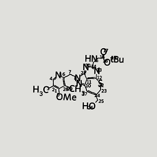 COc1c(C)cnc(Cn2nc3c4c(nc(NC(=O)OC(C)(C)C)nc42)SCC(CO)=C3)c1C